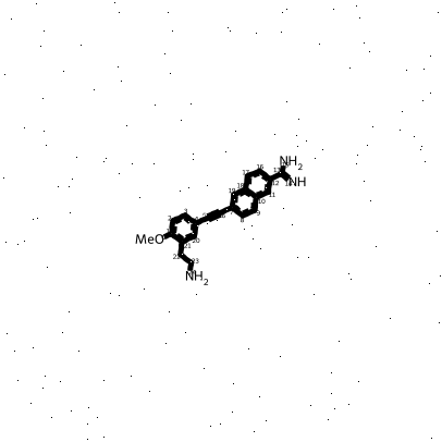 COc1ccc(C#Cc2ccc3cc(C(=N)N)ccc3c2)cc1CCN